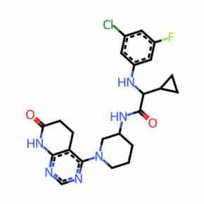 O=C1CCc2c(ncnc2N2CCCC(NC(=O)C(Nc3cc(F)cc(Cl)c3)C3CC3)C2)N1